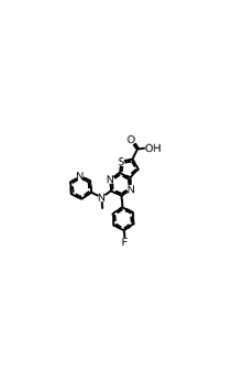 CN(c1cccnc1)c1nc2sc(C(=O)O)cc2nc1-c1ccc(F)cc1